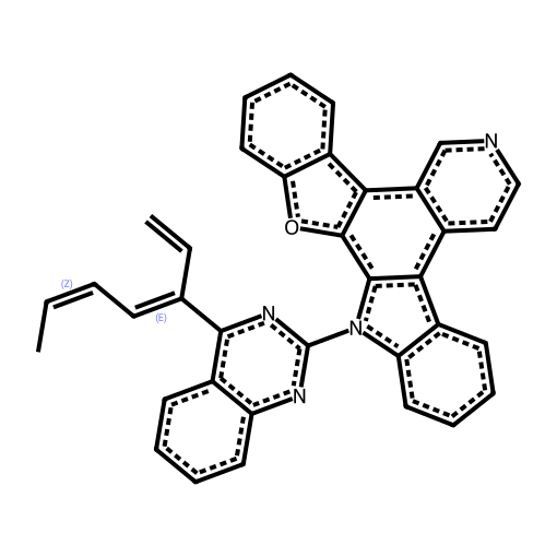 C=C/C(=C\C=C/C)c1nc(-n2c3ccccc3c3c4ccncc4c4c5ccccc5oc4c32)nc2ccccc12